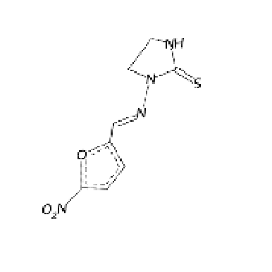 O=[N+]([O-])c1ccc(/C=N/N2CCNC2=S)o1